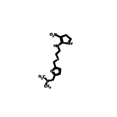 CN(C)Cc1ccc(CSCCNC2=C([N+](=O)[O-])CCN2)o1